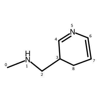 CNCC1C=NC=CC1